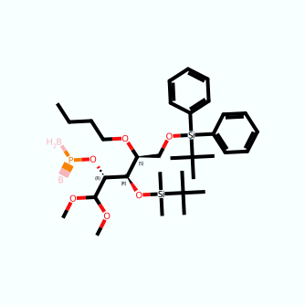 B#P(B)O[C@@H](C(OC)OC)[C@H](O[Si](C)(C)C(C)(C)C)[C@H](CO[Si](c1ccccc1)(c1ccccc1)C(C)(C)C)OCCCC